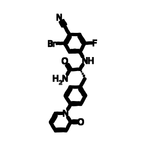 N#Cc1cc(F)c(N[C@H](Cc2ccc(-n3ccccc3=O)cc2)C(N)=O)cc1Br